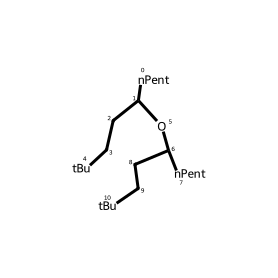 CCCCCC(CCC(C)(C)C)OC(CCCCC)CCC(C)(C)C